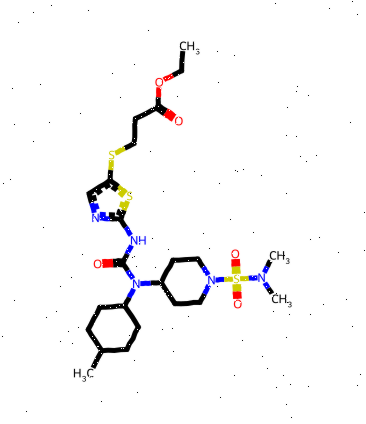 CCOC(=O)CCSc1cnc(NC(=O)N(C2CCC(C)CC2)C2CCN(S(=O)(=O)N(C)C)CC2)s1